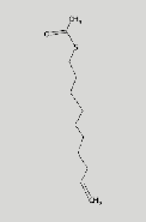 C=CCCCCCCCCSC(C)=O